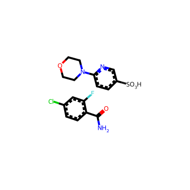 NC(=O)c1ccc(Cl)cc1F.O=S(=O)(O)c1ccc(N2CCOCC2)nc1